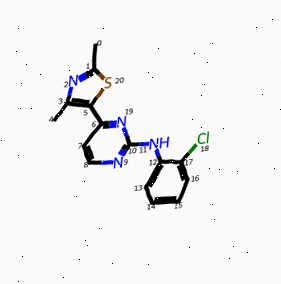 Cc1nc(C)c(-c2ccnc(Nc3ccccc3Cl)n2)s1